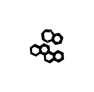 C1=CSc2ccccc2N=C1.C1=c2ccc3c(c2CCC1)CC=c1ccccc1=3